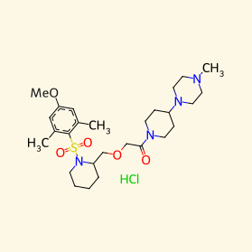 COc1cc(C)c(S(=O)(=O)N2CCCCC2COCC(=O)N2CCC(N3CCN(C)CC3)CC2)c(C)c1.Cl